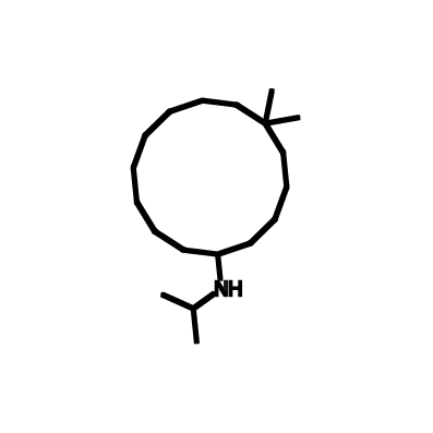 CC(C)NC1CCCCCCCCC(C)(C)CCCC1